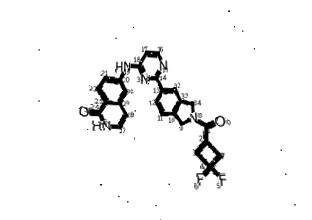 O=C(C1CC(F)(F)C1)N1Cc2ccc(-c3nccc(Nc4ccc5c(=O)[nH]ccc5c4)n3)cc2C1